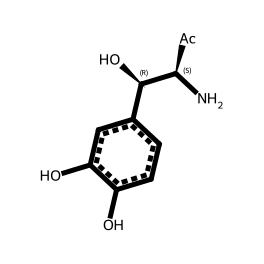 CC(=O)[C@@H](N)[C@H](O)c1ccc(O)c(O)c1